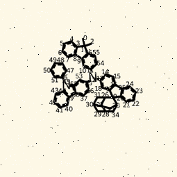 CC1(C)c2ccccc2-c2cc(N(c3ccc4c(c3)C3(c5ccccc5-4)C4CC5CC(C4)CC3C5)c3ccc4c5ccccc5n(-c5ccccc5)c4c3)ccc21